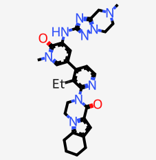 CCc1c(-c2cc(Nc3nc4n(n3)CCN(C)C4)c(=O)n(C)c2)ccnc1N1CCn2c(cc3c2CCCC3)C1=O